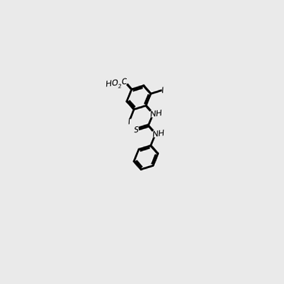 O=C(O)c1cc(I)c(NC(=S)Nc2ccccc2)c(I)c1